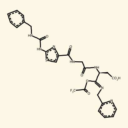 O=C(O)C[C@H](NC(=O)CNC(=O)c1csc(NC(=O)NCc2ccccc2)n1)C(=NCc1ccccn1)OC(=O)C(F)(F)F